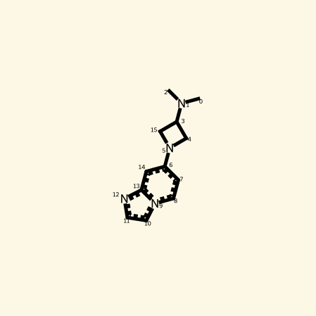 CN(C)C1CN(c2ccn3ccnc3c2)C1